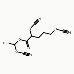 CC(OC#N)OC(=O)C(CCCOC#N)OC#N